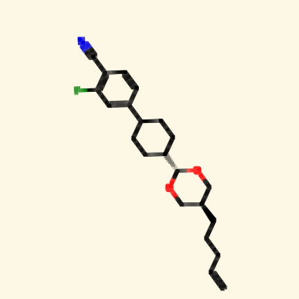 C=CCCC[C@H]1CO[C@H](C2CCC(c3ccc(C#N)c(F)c3)CC2)OC1